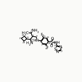 CC(N)C(CNc1cc(F)c(S(=O)(=O)Nc2ncns2)cc1F)C(N)C1CCC1